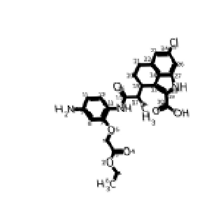 CCOC(=O)COc1cc(N)ccc1NC(=O)C(C)C1CCc2cc(Cl)cc3[nH]c(C(=O)O)c1c23